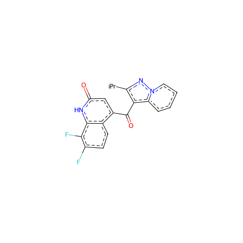 CC(C)c1nn2ccccc2c1C(=O)c1cc(=O)[nH]c2c(F)c(F)ccc12